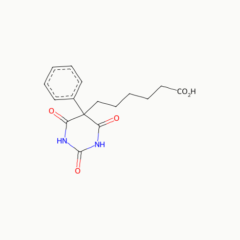 O=C(O)CCCCCC1(c2ccccc2)C(=O)NC(=O)NC1=O